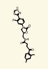 Cc1ccc(C(=O)CCC(=O)NCC2CN(c3ccc(-c4nc[nH]n4)c(F)c3)C(=O)O2)c(C)c1